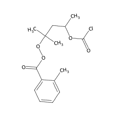 Cc1ccccc1C(=O)OOC(C)(C)CC(C)OC(=O)Cl